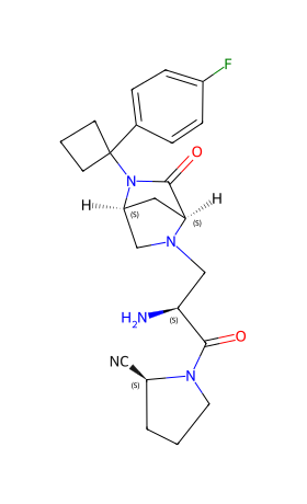 N#C[C@@H]1CCCN1C(=O)[C@@H](N)CN1C[C@@H]2C[C@H]1C(=O)N2C1(c2ccc(F)cc2)CCC1